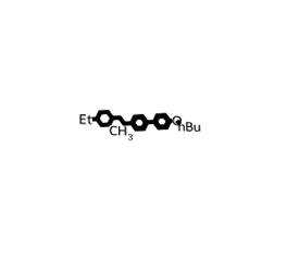 CCCCOc1ccc(-c2ccc(CCC3CCC(CC)CC3C)cc2)cc1